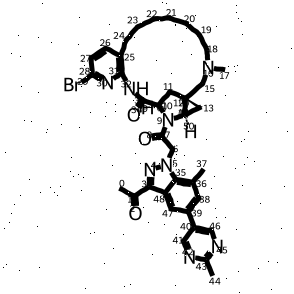 CC(=O)c1nn(CC(=O)N2[C@H]3C[C@]4(C[C@@H]24)CN(C)CCCCCCCc2ccc(Br)nc2NC3=O)c2c(C)cc(-c3cnc(C)nc3)cc12